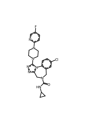 O=C(NC1CC1)N1Cc2cc(Cl)ccc2-n2c(nnc2N2CCN(c3ccc(F)cn3)CC2)C1